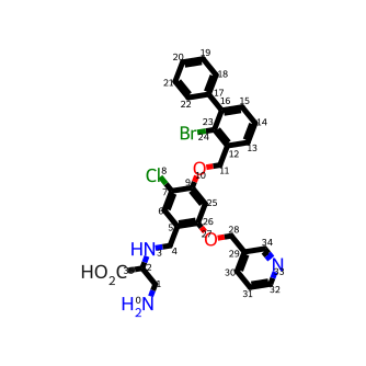 NCC(NCc1cc(Cl)c(OCc2cccc(-c3ccccc3)c2Br)cc1OCc1cccnc1)C(=O)O